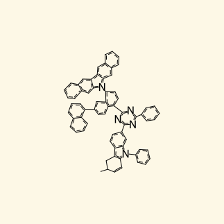 CC1C=Cc2c(c3ccc(-c4nc(-c5ccccc5)nc(-c5ccc(-n6c7cc8ccccc8cc7c7cc8ccccc8cc76)c6cc(-c7cccc8ccccc78)ccc56)n4)cc3n2-c2ccccc2)C1